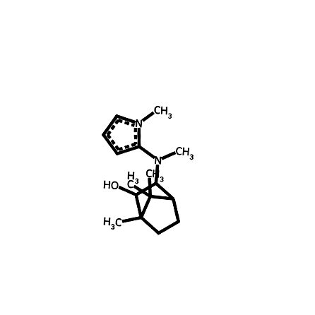 CN(c1cccn1C)C1C2CCC(C)(C1O)C2(C)C